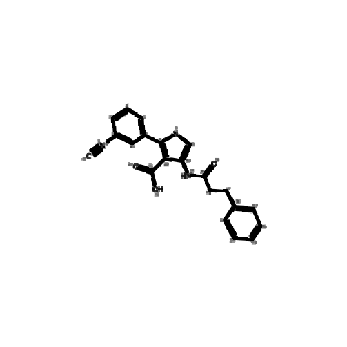 [C-]#[N+]c1cccc(-c2scc(NC(=O)CCc3ccccc3)c2C(=O)O)c1